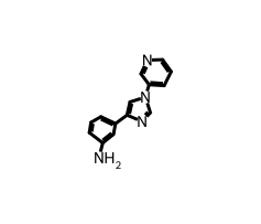 Nc1cccc(-c2cn(-c3cccnc3)cn2)c1